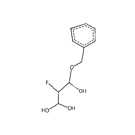 OC(O)C(F)C(O)OCc1ccccc1